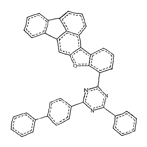 c1ccc(-c2ccc(-c3nc(-c4ccccc4)nc(-c4cccc5c4oc4cc6c7c(cccc7c45)-c4ccccc4-6)n3)cc2)cc1